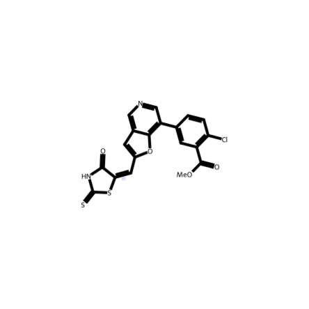 COC(=O)c1cc(-c2cncc3cc(/C=C4/SC(=S)NC4=O)oc23)ccc1Cl